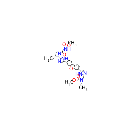 CCCN(Cc1ncc(-c2ccc3c(c2)oc2cc(-c4cnc([C@@H]5[C@H](CC)CCN5C(=O)CNC(=O)OC)[nH]4)ccc23)[nH]1)C(=O)COC